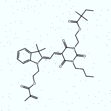 C=C(C)C(=O)OCCN1/C(=C/C=C2\C(=O)N(CCCC)C(=O)N(CCOC(=O)C(C)(C)CC)C2=O)C(C)(C)c2ccccc21